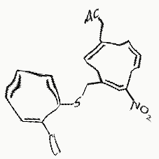 CC(=O)c1ccc([N+](=O)[O-])c(Sc2ccccc2Cl)c1